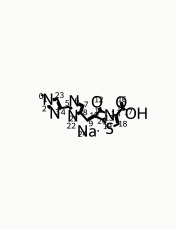 Cn1cnc(-c2ncc(C=C3C(=O)N4C(C(=O)O)=CSC34)n2C)c1.[Na]